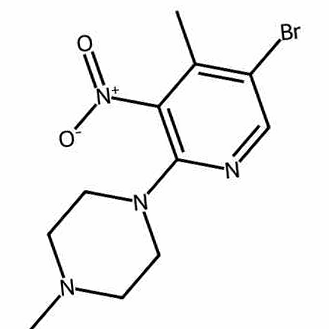 Cc1c(Br)cnc(N2CCN(C)CC2)c1[N+](=O)[O-]